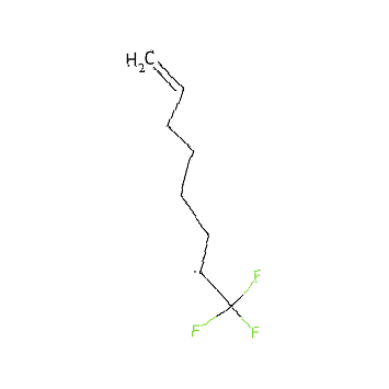 C=CCCCC[CH]C(F)(F)F